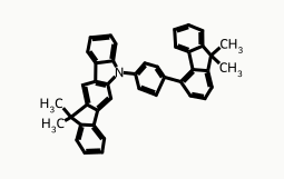 CC1(C)c2ccccc2-c2cc3c(cc21)c1ccccc1n3-c1ccc(-c2cccc3c2-c2ccccc2C3(C)C)cc1